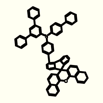 C1=Cc2c(ccc3c2Oc2c(ccc4ccccc24)C32c3ccccc3-c3c(-c4ccc(N(c5ccc(-c6ccccc6)cc5)c5cc(-c6ccccc6)cc(-c6ccccc6)c5)cc4)cccc32)CC1